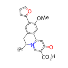 COc1cc2c(cc1-c1ccco1)CC(C(C)C)n1cc(C(=O)O)c(=O)cc1-2